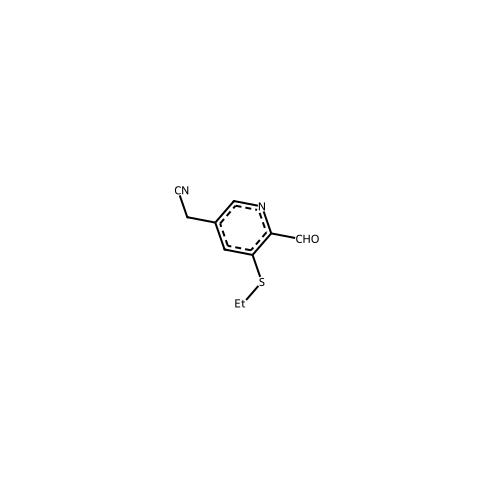 CCSc1cc(CC#N)cnc1C=O